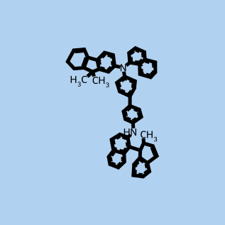 CC1C=Cc2ccccc2C1c1c(Nc2ccc(-c3ccc(N(c4ccc5c(c4)C(C)(C)C4=C5C=CCC4)c4cccc5ccccc45)cc3)cc2)ccc2ccccc12